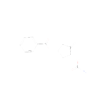 C=C1C[C@@H](OC(=O)c2ccccc2)C[C@H]1OC(N)=O